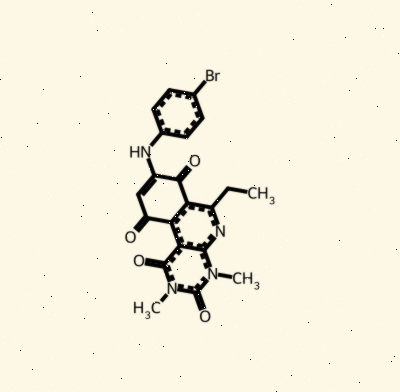 CCc1nc2c(c3c1C(=O)C(Nc1ccc(Br)cc1)=CC3=O)c(=O)n(C)c(=O)n2C